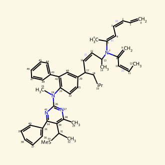 C=C/C=C\C=C(/C)N(C(=C)/C=C\C)C(C)/C=C\C(CC(C)C)c1ccc(N(C)c2nc(C)c(C(C)SC)c(-c3ccccc3)n2)c(-c2ccccc2)c1